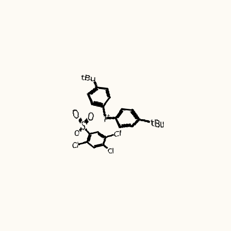 CC(C)(C)c1ccc([I+]c2ccc(C(C)(C)C)cc2)cc1.O=S(=O)([O-])c1cc(Cl)c(Cl)cc1Cl